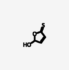 OC1C=CC(=S)O1